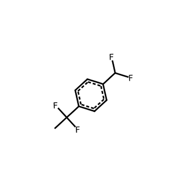 CC(F)(F)c1ccc(C(F)F)cc1